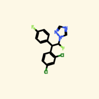 Fc1ccc(C(c2ccc(Cl)cc2Cl)C(F)n2cncn2)cc1